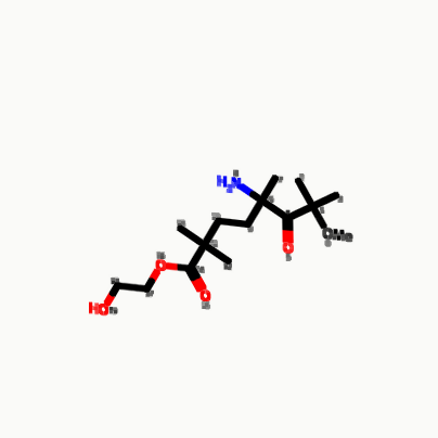 COC(C)(C)C(=O)C(C)(N)CCC(C)(C)C(=O)OCCO